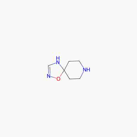 C1=NOC2(CCNCC2)N1